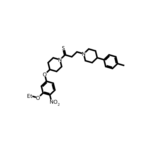 CCOc1cc(OC2CCN(C(=S)CCN3CCC(c4ccc(C)cc4)CC3)CC2)ccc1[N+](=O)[O-]